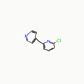 Clc1cccc(-c2ccncc2)n1